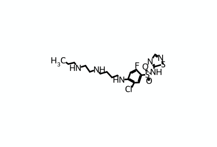 CCCNCCNCCCCNc1cc(F)c(S(=O)(=O)Nc2ncns2)cc1Cl